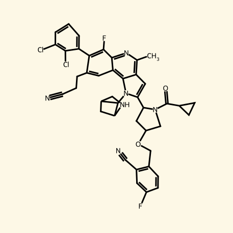 Cc1nc2c(F)c(-c3cccc(Cl)c3Cl)c(CCC#N)cc2c2c1cc(C1CC(OCc3ccc(F)cc3C#N)CN1C(=O)C1CC1)n2C1C2CNC1C2